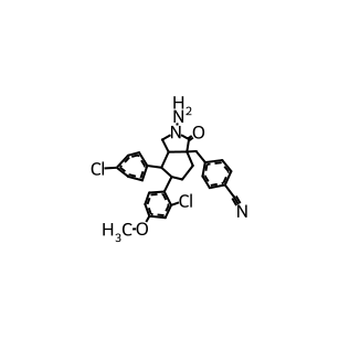 COc1ccc(C2CCC3(Cc4ccc(C#N)cc4)C(=O)N(N)CC3C2c2ccc(Cl)cc2)c(Cl)c1